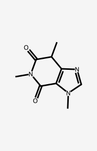 CC1C(=O)N(C)C(=O)c2c1ncn2C